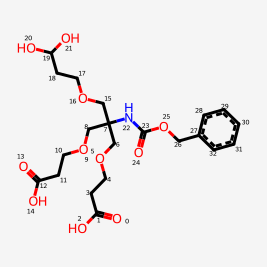 O=C(O)CCOCC(COCCC(=O)O)(COCCC(O)O)NC(=O)OCc1ccccc1